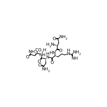 N=C(N)NCCC[C@H](NC(=O)[C@@H](N)CC(N)=O)C(=O)N[C@@H](CC(N)=O)C(=O)N[C@@H](CC(N)=O)C(=O)O